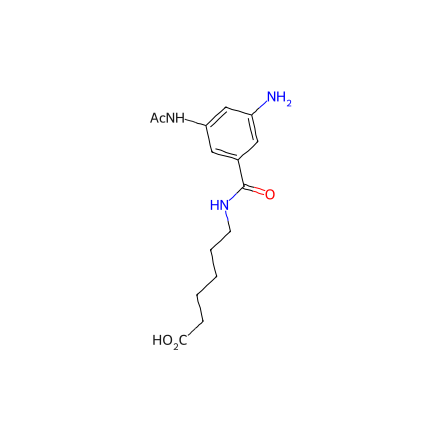 CC(=O)Nc1cc(N)cc(C(=O)NCCCCCC(=O)O)c1